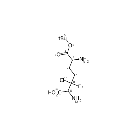 CC(C)(C)OC(=O)[C@@H](N)CCC(F)(Cl)C(N)C(=O)O